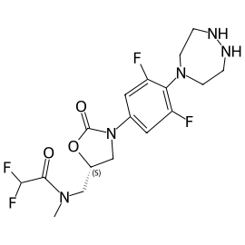 CN(C[C@H]1CN(c2cc(F)c(N3CCNNCC3)c(F)c2)C(=O)O1)C(=O)C(F)F